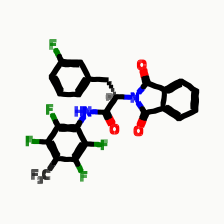 O=C(Nc1c(F)c(F)c(C(F)(F)F)c(F)c1F)[C@H](Cc1cccc(F)c1)N1C(=O)c2ccccc2C1=O